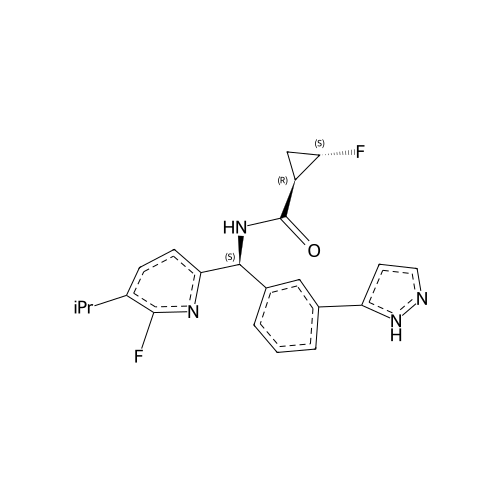 CC(C)c1ccc([C@@H](NC(=O)[C@H]2C[C@@H]2F)c2cccc(-c3ccn[nH]3)c2)nc1F